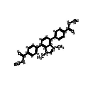 Cn1c[n+](C)c2c(-c3ccc(C(=O)OC(C)(C)C)cc3)ccc(-c3ccc(C(=O)OC(C)(C)C)cc3)c21